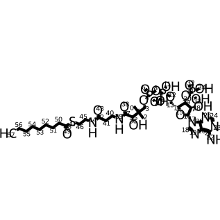 CC(C)(COP(=O)(O)OP(=O)(O)OC[C@H]1O[C@@H](n2cnc3c(N)ncnc32)[C@H](O)[C@@H]1OP(=O)(O)O)[C@@H](O)C(=O)NCCC(=O)NCCSC(=O)CCCCCCCC=O